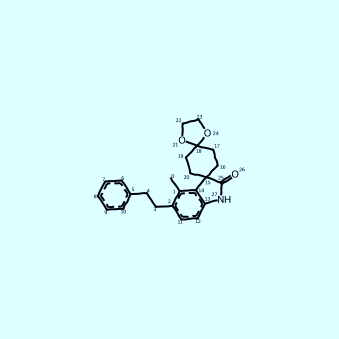 Cc1c(CCc2ccccc2)ccc2c1C1(CCC3(CC1)OCCO3)C(=O)N2